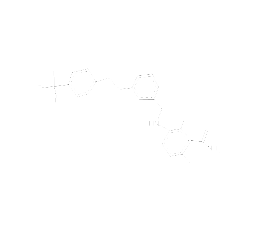 NC(=O)c1c(F)ccc(NCc2cccc(OCc3ccc(C(F)(F)F)cc3)c2)c1F